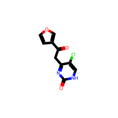 O=C(Cc1nc(=O)[nH]cc1Cl)c1ccoc1